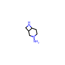 NN1CCC2NCC2C1